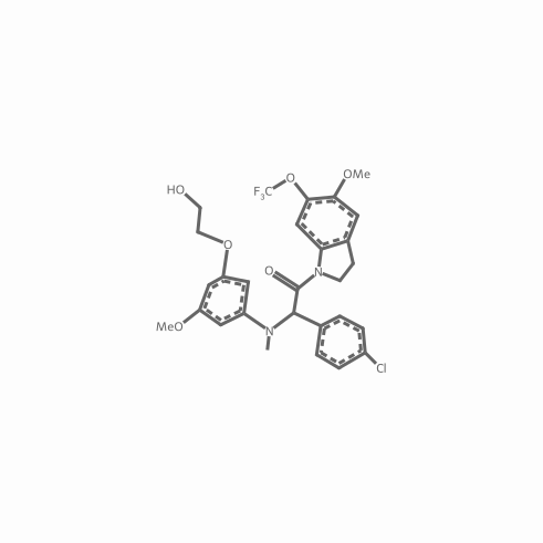 COc1cc(OCCO)cc(N(C)C(C(=O)N2CCc3cc(OC)c(OC(F)(F)F)cc32)c2ccc(Cl)cc2)c1